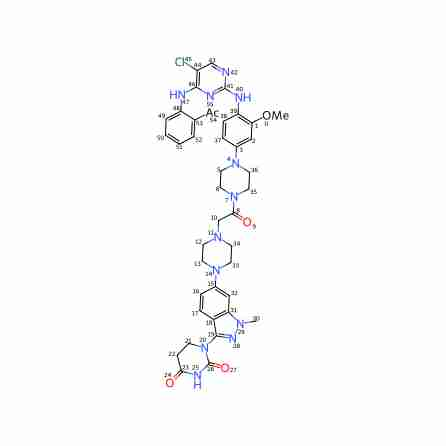 COc1cc(N2CCN(C(=O)CN3CCN(c4ccc5c(N6CCC(=O)NC6=O)nn(C)c5c4)CC3)CC2)ccc1Nc1ncc(Cl)c(Nc2ccccc2C(C)=O)n1